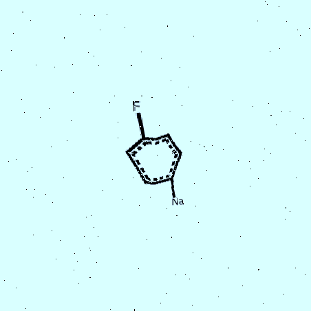 Fc1cc[c]([Na])cc1